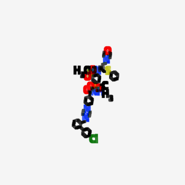 CCOP(=O)(NC(=O)c1ccc(N2CCN(Cc3ccccc3-c3ccc(Cl)cc3)CC2)cc1)c1ccc(N[C@H](CCN2CCOCC2)CSc2ccccc2)c(S(C)(=O)=O)c1